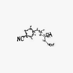 CN(Cc1ccc(C#N)cc1)CC(O)CO